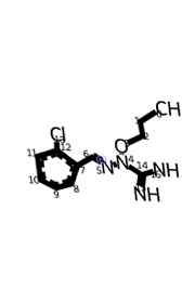 CCCON(/N=C/c1ccccc1Cl)C(=N)N